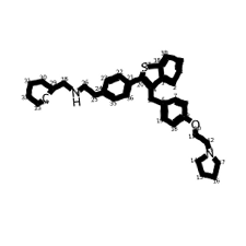 c1ccc2c(Cc3ccc(OCCN4CCCC4)cc3)c(-c3ccc(CCNCC4CCCCC4)cc3)sc2c1